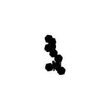 c1ccc(-c2nc(-c3ccccc3)nc(-c3cccc(-c4ccc(-c5cccc6c5oc5ccc7ccccc7c56)cc4)c3)n2)cc1